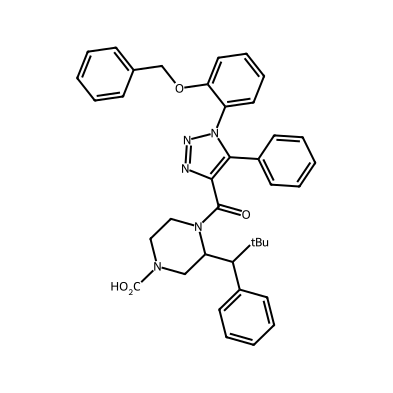 CC(C)(C)C(c1ccccc1)C1CN(C(=O)O)CCN1C(=O)c1nnn(-c2ccccc2OCc2ccccc2)c1-c1ccccc1